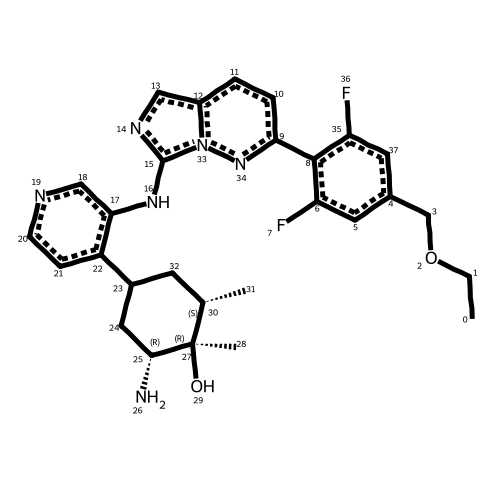 CCOCc1cc(F)c(-c2ccc3cnc(Nc4cnccc4C4C[C@@H](N)[C@](C)(O)[C@@H](C)C4)n3n2)c(F)c1